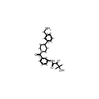 CC(C)(O)C(=O)C(=O)Nc1cccc(C(=O)N2CCC(c3cccc(CN)c3)CC2)c1